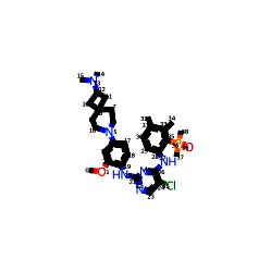 COc1cc(N2CCC3(CC2)CC(N(C)C)C3)ccc1Nc1ncc(Cl)c(Nc2ccc(C)c(C)c2P(C)(C)=O)n1